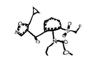 CCN(C(=O)OC)c1c(C(=O)c2cnoc2C2CC2)cccc1S(=O)(=O)CF